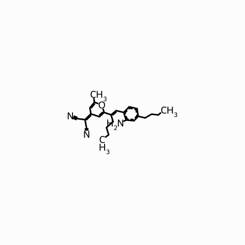 CCCCC(=Cc1ccc(CCCC)cc1N)C1=CC(=C(C#N)C#N)C=C(C)O1